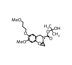 COCCCOc1cc(CN(C(=O)OC(C)(C)O)C2CC2)c(C)cc1OC